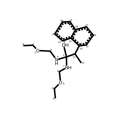 CCOCNC(O)(NCOCC)C(C)c1cccc2ccccc12